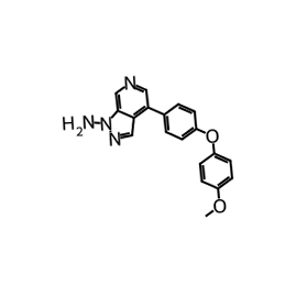 COc1ccc(Oc2ccc(-c3cncc4c3cnn4N)cc2)cc1